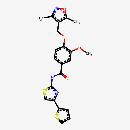 COc1cc(C(=O)Nc2nc(-c3cccs3)cs2)ccc1OCc1c(C)noc1C